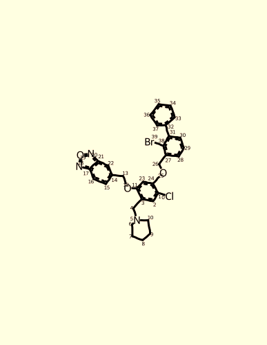 Clc1cc(CN2CCCCC2)c(OCc2ccc3nonc3c2)cc1OCc1cccc(-c2ccccc2)c1Br